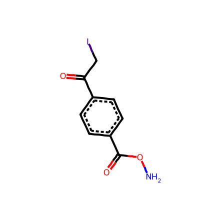 NOC(=O)c1ccc(C(=O)CI)cc1